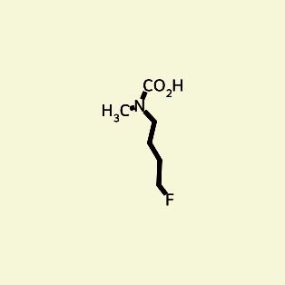 CN(CCCCF)C(=O)O